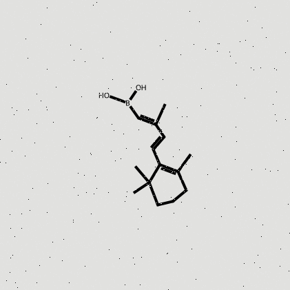 CC(C=CC1=C(C)CCCC1(C)C)=CB(O)O